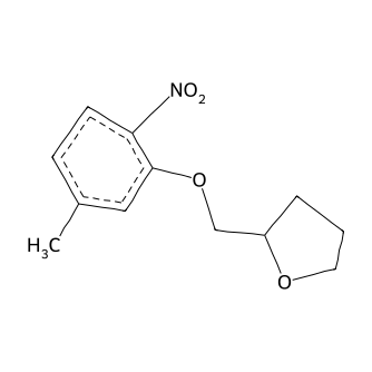 Cc1ccc([N+](=O)[O-])c(OCC2CCCO2)c1